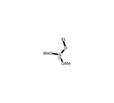 CCO[SiH](OC)OC